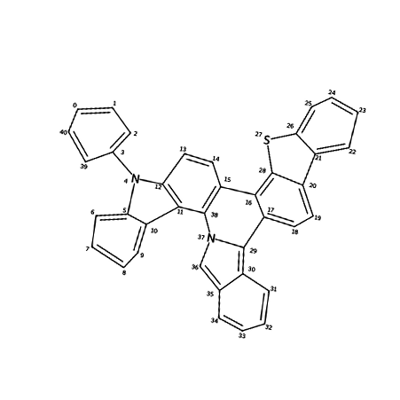 c1ccc(-n2c3ccccc3c3c2ccc2c4c(ccc5c6ccccc6sc54)c4c5ccccc5cn4c23)cc1